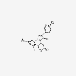 COc1cc(F)c(C2CN(C)C(=O)CC2NC(=O)Nc2ccc(Cl)cc2)c(F)c1